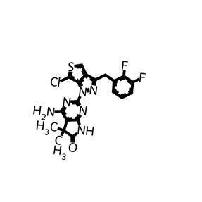 CC1(C)C(=O)Nc2nc(-n3nc(Cc4cccc(F)c4F)c4csc(Cl)c43)nc(N)c21